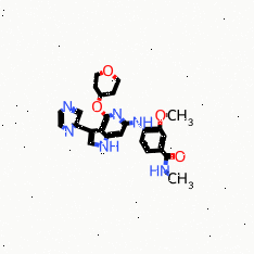 CNC(=O)c1ccc(Nc2cc3[nH]cc(-c4cnccn4)c3c(OC3CCOCC3)n2)c(OC)c1